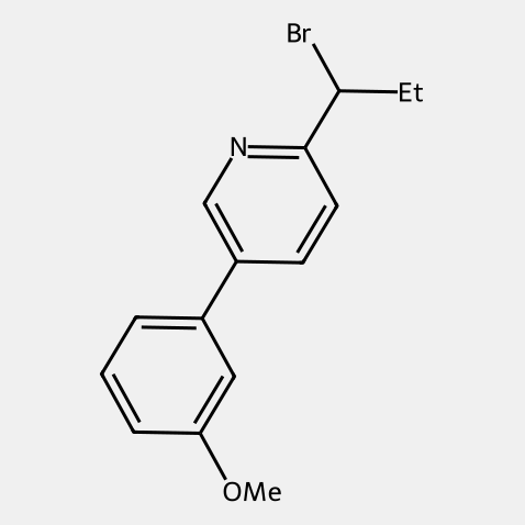 CCC(Br)c1ccc(-c2cccc(OC)c2)cn1